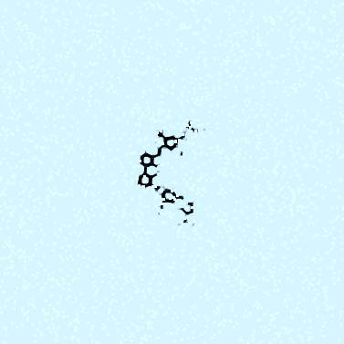 COc1cc(/C=C/c2cccc(-c3cccc(-c4nc5cc(CN6CC[C@@H](C(=O)O)C6)cc(C#N)c5o4)c3C)c2C)c(C(F)(F)F)cc1CNC(C)CO